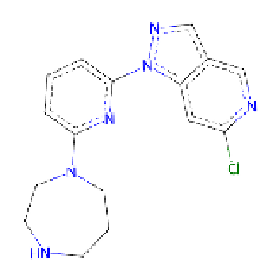 Clc1cc2c(cn1)cnn2-c1cccc(N2CCCNCC2)n1